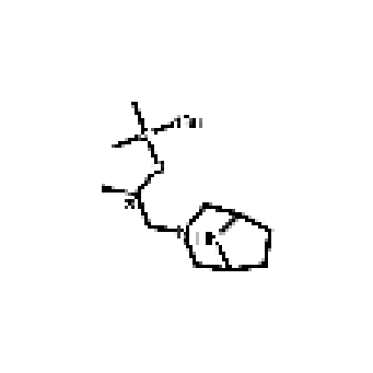 C[C@H](CN1CC2CCC(C1)N2)O[Si](C)(C)C(C)(C)C